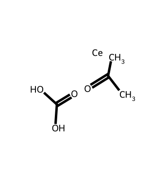 CC(C)=O.O=C(O)O.[Ce]